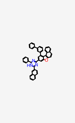 c1ccc(-c2cccc(-c3cc(C4=NC(c5ccccc5)NC(c5ccc6ccccc6c5)=N4)cc4oc5ccc6ccccc6c5c34)c2)cc1